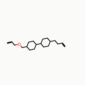 C=CCCC1CCC(C2CCC(COCC=C)CC2)CC1